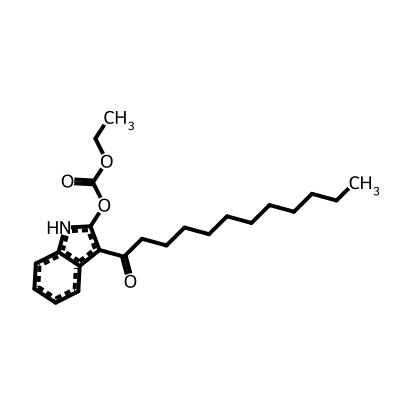 CCCCCCCCCCCC(=O)c1c(OC(=O)OCC)[nH]c2ccccc12